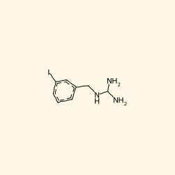 NC(N)NCc1cccc(I)c1